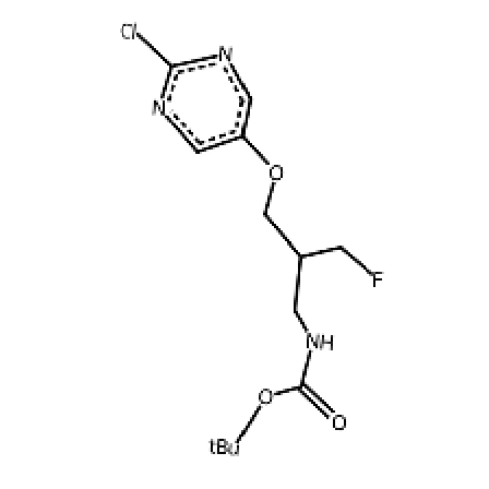 CC(C)(C)OC(=O)NCC(CF)COc1cnc(Cl)nc1